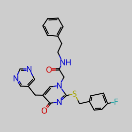 O=C(Cn1cc(Cc2cncnc2)c(=O)nc1SCc1ccc(F)cc1)NCCc1ccccc1